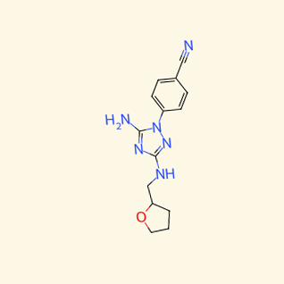 N#Cc1ccc(-n2nc(NCC3CCCO3)nc2N)cc1